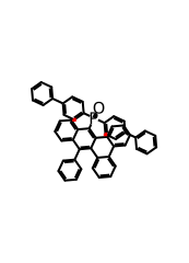 O=P(c1ccc(-c2ccccc2)cc1)(c1ccc(-c2ccccc2)cc1)c1c2ccccc2c(-c2ccccc2)c2c3ccccc3c3ccccc3c12